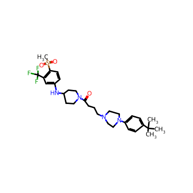 CC(C)(C)c1ccc(N2CCN(CCCC(=O)N3CCC(Nc4ccc(S(C)(=O)=O)c(C(F)(F)F)c4)CC3)CC2)cc1